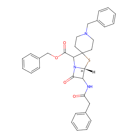 O=C(Cc1ccccc1)NC1C(=O)N2C(C(=O)OCc3ccccc3)C3(CCN(Cc4ccccc4)CC3)S[C@H]12